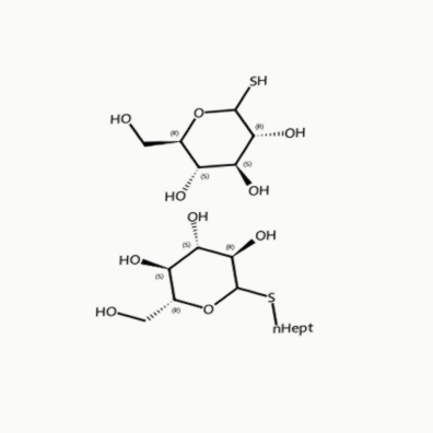 CCCCCCCSC1O[C@H](CO)[C@@H](O)[C@H](O)[C@H]1O.OC[C@H]1OC(S)[C@H](O)[C@@H](O)[C@@H]1O